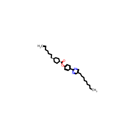 C=CCCCCC[C@H]1CC[C@H](C(=O)Oc2ccc(-c3ncc(CCCCCCCCC)cn3)cc2)CC1